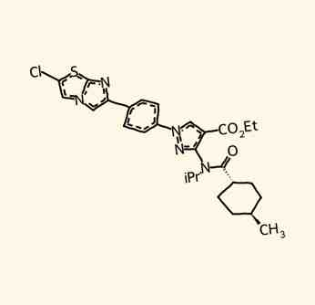 CCOC(=O)c1cn(-c2ccc(-c3cn4cc(Cl)sc4n3)cc2)nc1N(C(=O)[C@H]1CC[C@H](C)CC1)C(C)C